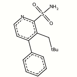 CC(C)(C)Cc1c(-c2ccccc2)ccnc1S(N)(=O)=O